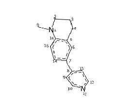 CN1CCCc2cc(-c3ccncc3)ccc21